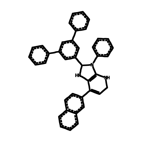 C1=C(c2ccc3ccccc3c2)C2=C(NC1)N(c1ccccc1)C(c1cc(-c3ccccc3)cc(-c3ccccc3)c1)N2